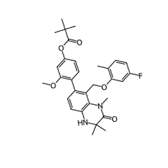 COc1cc(OC(=O)C(C)(C)C)ccc1-c1ccc2c(c1COc1cc(F)ccc1C)N(C)C(=O)C(C)(C)N2